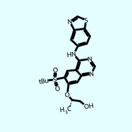 C[C@@H](CO)Oc1cc2ncnc(Nc3ccc4scnc4c3)c2cc1S(=O)(=O)C(C)(C)C